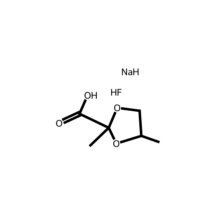 CC1COC(C)(C(=O)O)O1.F.[NaH]